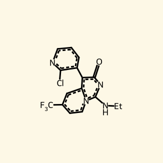 CCNc1nc(=O)c(-c2cccnc2Cl)c2cc(C(F)(F)F)ccn12